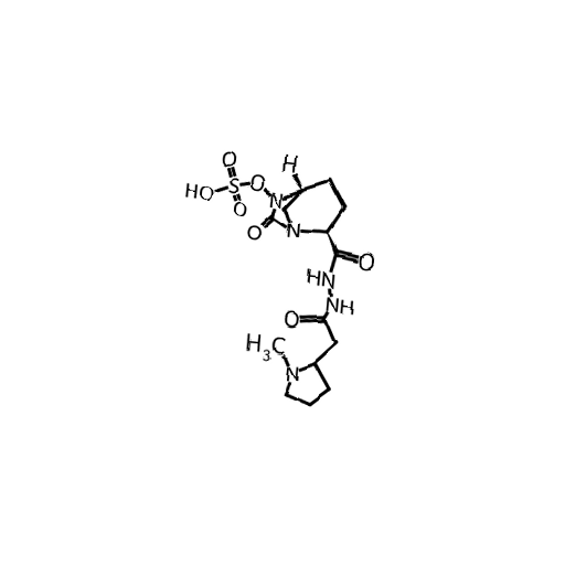 CN1CCCC1CC(=O)NNC(=O)[C@@H]1CC[C@@H]2CN1C(=O)N2OS(=O)(=O)O